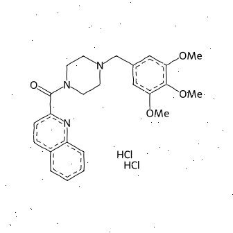 COc1cc(CN2CCN(C(=O)c3ccc4ccccc4n3)CC2)cc(OC)c1OC.Cl.Cl